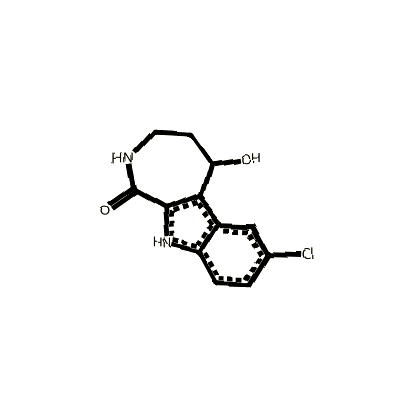 O=C1NCCC(O)c2c1[nH]c1ccc(Cl)cc21